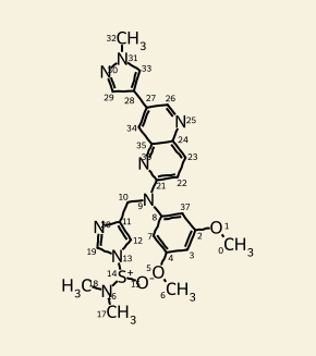 COc1cc(OC)cc(N(Cc2cn([S+]([O-])N(C)C)cn2)c2ccc3ncc(-c4cnn(C)c4)cc3n2)c1